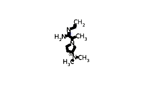 C=C/N=C(/N)C(C)N1CC[C@H](N(C)C)C1